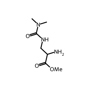 COC(=O)C(N)CNC(=O)N(C)C